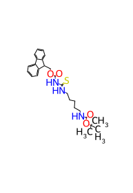 CC(C)(C)OC(=O)NCCCCCNC(=S)NC(=O)OCC1c2ccccc2-c2ccccc21